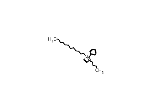 CCCCCCCCCCCCN1C=CN(CCCC)C1c1ccccc1